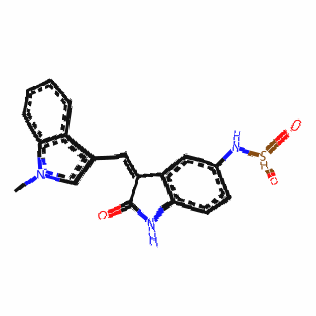 Cn1cc(/C=C2\C(=O)Nc3ccc(N[SH](=O)=O)cc32)c2ccccc21